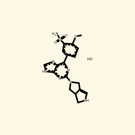 COc1ccc(-c2nc(N3CC4=CNCC4C3)nc3[nH]cnc23)cc1S(N)(=O)=O.Cl